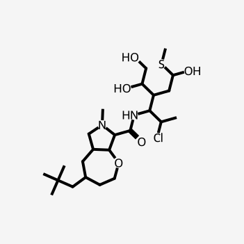 CSC(O)CC(C(O)CO)C(NC(=O)C1C2OCCC(CC(C)(C)C)CC2CN1C)C(C)Cl